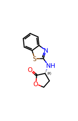 O=C1OCC[C@H]1Nc1nc2ccccc2s1